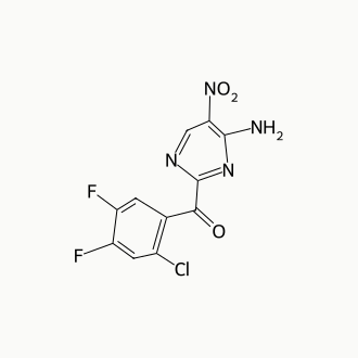 Nc1nc(C(=O)c2cc(F)c(F)cc2Cl)ncc1[N+](=O)[O-]